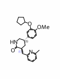 COc1ccc([C@H]2CNC(=O)/C(=C/c3cccc(C)n3)C2)cc1OC1CCCC1